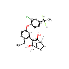 CCc1ccc(Oc2ccc(C(C)(F)F)cc2Cl)cc1C1=C(O)[C@H]2CC[C@H](C2)C1=O